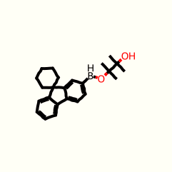 CC(C)(O)C(C)(C)OBc1ccc2c(c1)C1(CCCCC1)c1ccccc1-2